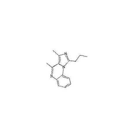 CCCc1nc(C)c2c(C)nc3ccccc3n12